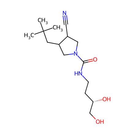 CC(C)(C)CC1CN(C(=O)NCC[C@H](O)CO)CC1C#N